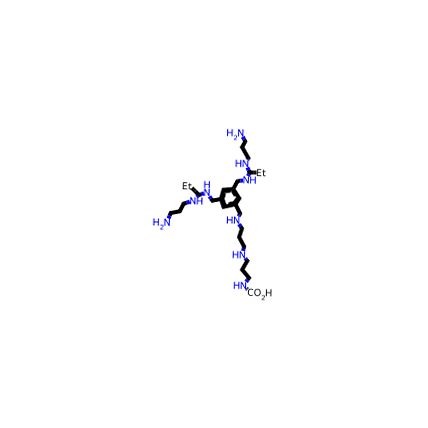 CCC(NCCCN)NCc1cc(CNCCCNCCCNC(=O)O)cc(CNC(CC)NCCCN)c1